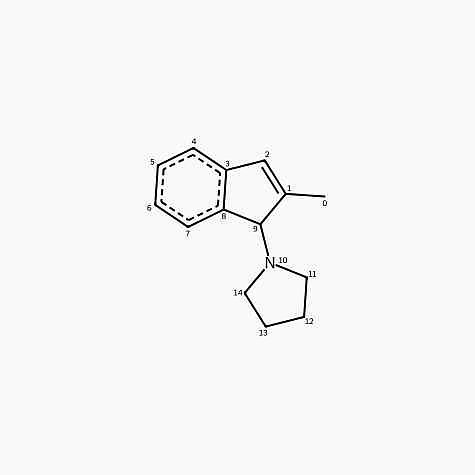 CC1=Cc2ccccc2C1N1CCCC1